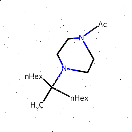 CCCCCCC(C)(CCCCCC)N1CCN(C(C)=O)CC1